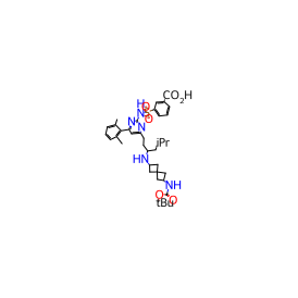 Cc1cccc(C)c1-c1cc(CCC(CC(C)C)NC2CC3(CC(NC(=O)OC(C)(C)C)C3)C2)nc(NS(=O)(=O)c2cccc(C(=O)O)c2)n1